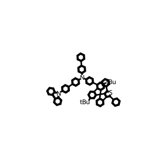 CC(C)(C)c1ccc2c(c1)C1(c3ccccc3-c3c(-c4ccccc4)sc(-c4ccccc4)c31)c1cc(C(C)(C)C)cc(-c3ccc(N(c4ccc(-c5ccccc5)cc4)c4ccc(-c5ccc(-n6c7ccccc7c7ccccc76)cc5)cc4)cc3)c1-2